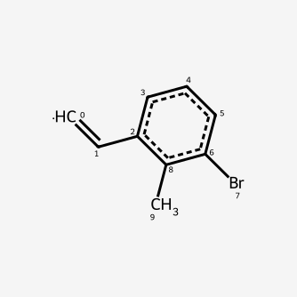 [CH]=Cc1cccc(Br)c1C